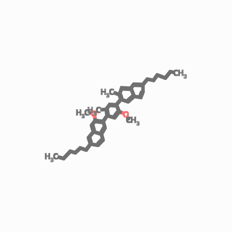 CCCCCCc1ccc2cc(-c3cc(C)c(-c4cc5ccc(CCCCCC)cc5cc4OC)cc3OC)c(C)cc2c1